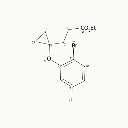 CCOC(=O)CCC1(Oc2cc(C)ccc2Br)CC1